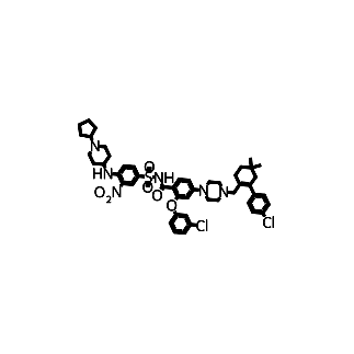 CC1(C)CCC(CN2CCN(c3ccc(C(=O)NS(=O)(=O)c4ccc(NC5CCN(C6CCCC6)CC5)c([N+](=O)[O-])c4)c(Oc4cccc(Cl)c4)c3)CC2)=C(c2ccc(Cl)cc2)C1